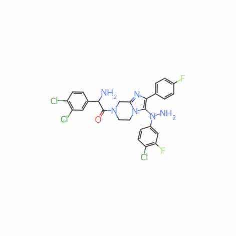 NC(C(=O)N1CCn2c(nc(-c3ccc(F)cc3)c2N(N)c2ccc(Cl)c(F)c2)C1)c1ccc(Cl)c(Cl)c1